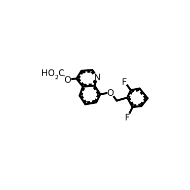 O=C(O)Oc1ccnc2c(OCc3c(F)cccc3F)cccc12